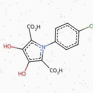 O=C(O)c1c(O)c(O)c(C(=O)O)n1-c1ccc(Cl)cc1